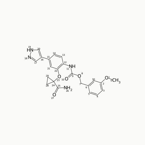 COc1cccc(COC(=O)Nc2ccc(-c3cn[nH]c3)cc2OC2(C(N)=O)CC2)c1